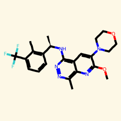 COc1nc2c(C)nnc(N[C@H](C)c3cccc(C(F)(F)F)c3C)c2cc1N1CCOCC1